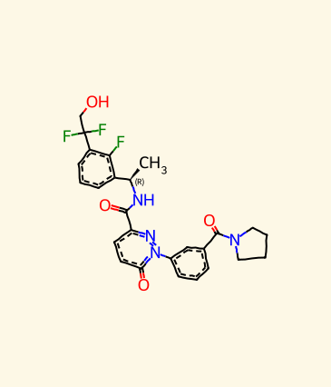 C[C@@H](NC(=O)c1ccc(=O)n(-c2cccc(C(=O)N3CCCC3)c2)n1)c1cccc(C(F)(F)CO)c1F